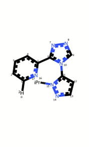 [2H]c1cccc(-c2nncn2-c2ccnn2C(C)C)n1